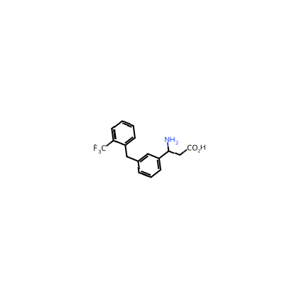 NC(CC(=O)O)c1cccc(Cc2ccccc2C(F)(F)F)c1